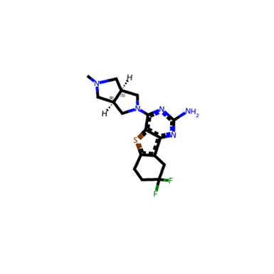 CN1C[C@@H]2CN(c3nc(N)nc4c5c(sc34)CCC(F)(F)C5)C[C@@H]2C1